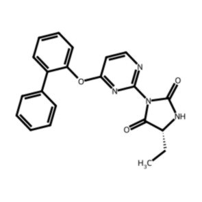 CC[C@H]1NC(=O)N(c2nccc(Oc3ccccc3-c3ccccc3)n2)C1=O